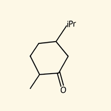 CC1CCC(C(C)C)CC1=O